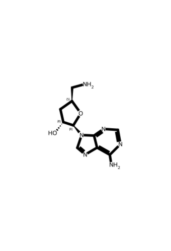 NC[C@@H]1C[C@@H](O)[C@H](n2cnc3c(N)ncnc32)O1